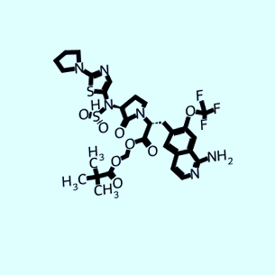 CC(C)(C)C(=O)OCOC(=O)[C@@H](Cc1cc2ccnc(N)c2cc1OC(F)(F)F)N1CC[C@H](N(c2cnc(N3CCCC3)s2)[SH](=O)=O)C1=O